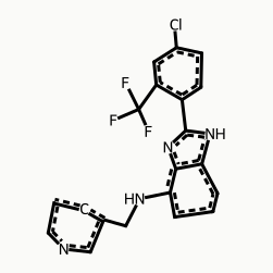 FC(F)(F)c1cc(Cl)ccc1-c1nc2c(NCc3cccnc3)cccc2[nH]1